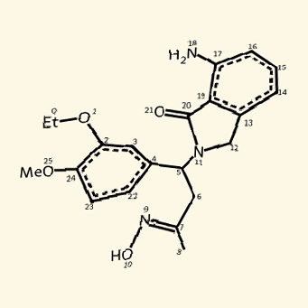 CCOc1cc(C(CC(C)=NO)N2Cc3cccc(N)c3C2=O)ccc1OC